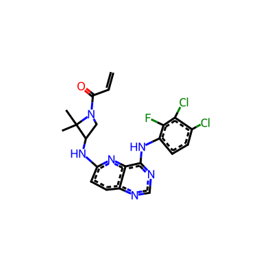 C=CC(=O)N1CC(Nc2ccc3ncnc(Nc4ccc(Cl)c(Cl)c4F)c3n2)C1(C)C